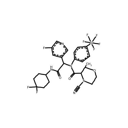 CC1OCCN(C#N)C1C(=O)N(c1ccc(S(F)(F)(F)(F)F)cc1)C(C(=O)NC1CCC(F)(F)CC1)c1cncc(F)c1